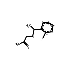 CC(CCC(N)=O)c1ccccc1F